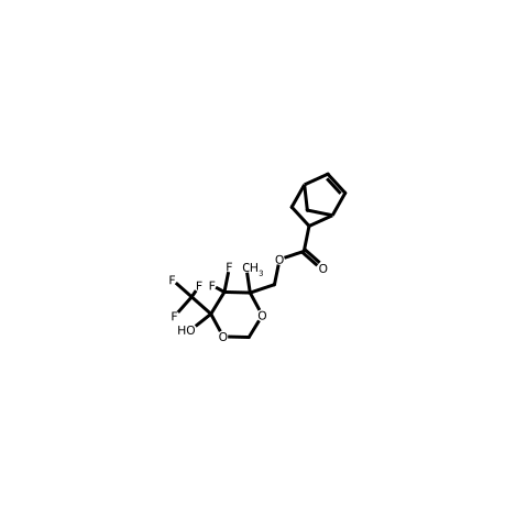 CC1(COC(=O)C2CC3C=CC2C3)OCOC(O)(C(F)(F)F)C1(F)F